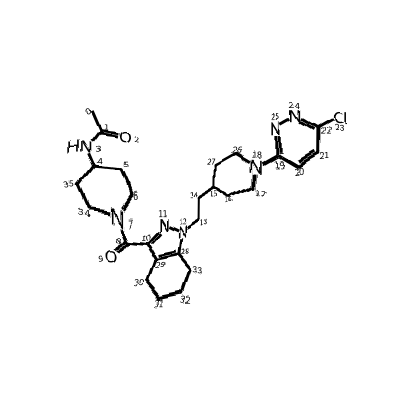 CC(=O)NC1CCN(C(=O)c2nn(CCC3CCN(c4ccc(Cl)nn4)CC3)c3c2CCCC3)CC1